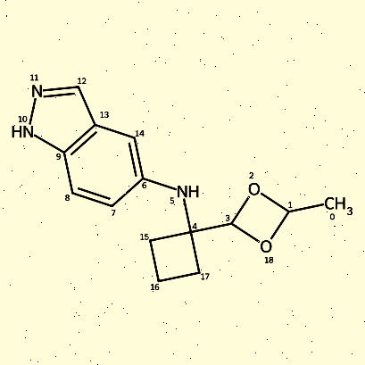 CC1OC(C2(Nc3ccc4[nH]ncc4c3)CCC2)O1